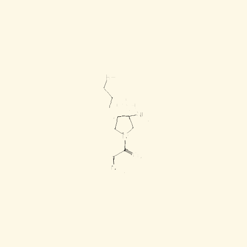 BCCC[C@H]1CN(C(=O)CN)C[C@@]1(N)C(=O)O